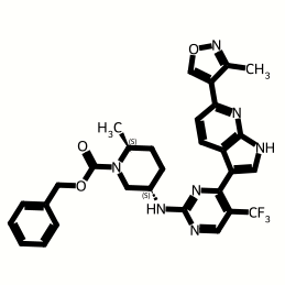 Cc1nocc1-c1ccc2c(-c3nc(N[C@H]4CC[C@H](C)N(C(=O)OCc5ccccc5)C4)ncc3C(F)(F)F)c[nH]c2n1